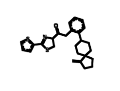 C=C1CCCC12CCC(c1ccccc1CC(=O)C1CSC(c3cccs3)=N1)CC2